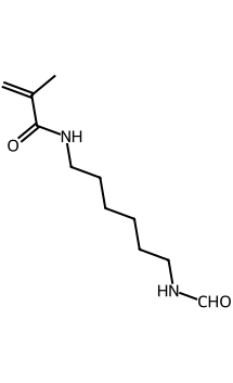 C=C(C)C(=O)NCCCCCCNC=O